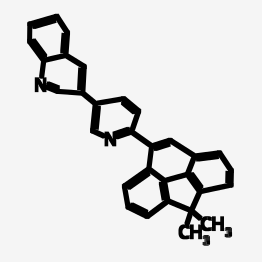 CC1(C)c2cccc3cc(-c4ccc(-c5cnc6ccccc6c5)cn4)c4cccc1c4c23